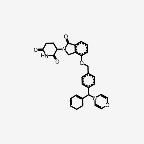 O=C1CCC(N2Cc3c(OCc4ccc(C(C5=CC=CCC5)N5C=COC=C5)cc4)cccc3C2=O)C(=O)N1